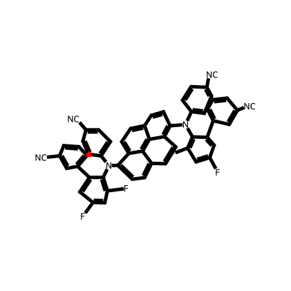 [C-]#[N+]c1ccc(N(c2c(F)cc(F)cc2-c2cccc([N+]#[C-])c2)c2ccc3ccc4c(N(c5ccc(C#N)cc5)c5c(F)cc(F)cc5-c5cccc(C#N)c5)ccc5ccc2c3c54)cc1